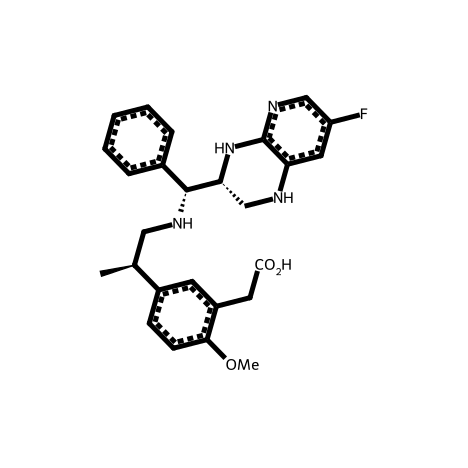 COc1ccc([C@@H](C)CN[C@H](c2ccccc2)[C@H]2CNc3cc(F)cnc3N2)cc1CC(=O)O